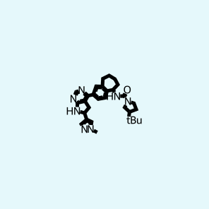 Cn1cc(C2Cc3c(ncnc3-c3ccc4c(c3)CCCCC4NC(=O)N3CCC(C(C)(C)C)C3)N2)cn1